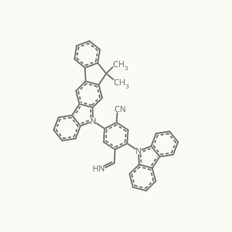 CC1(C)c2ccccc2-c2cc3c4ccccc4n(-c4cc(C=N)c(-n5c6ccccc6c6ccccc65)cc4C#N)c3cc21